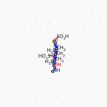 Cc1cc(N=Nc2cc(OCCCS(=O)(=O)O)c(N=Nc3cc(C)c(N=Nc4ccc5cc(Nc6ccccc6)ccc5c4O)cc3C)cc2C)c(C)cc1N=Nc1ccc2c(OCCCS(=O)(=O)O)cccc2c1